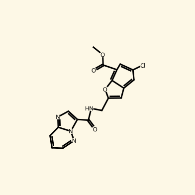 COC(=O)c1cc(Cl)cc2cc(CNC(=O)c3cnc4cccnn34)oc12